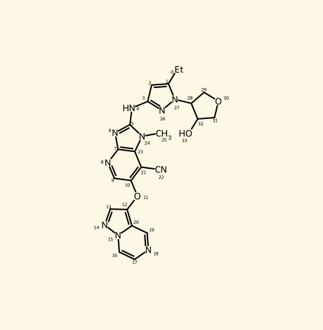 CCc1cc(Nc2nc3ncc(Oc4cnn5ccncc45)c(C#N)c3n2C)nn1C1COCC1O